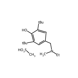 CCN(C)Cc1cc(C(C)(C)C)c(O)c(C(C)(C)C)c1.CS(=O)(=O)O